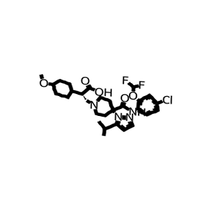 COC1CCC([C@@H](CN2CCC(C(=O)Nc3ccc(Cl)cc3OC(F)F)(n3nccc3C(C)C)CC2)C(=O)O)CC1